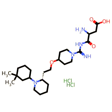 CC1(C)CCCC(N2CCCC[C@H]2CCOC2CCN(C(=N)NC(=O)C(N)CC(=O)O)CC2)C1.Cl.Cl